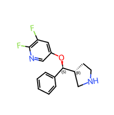 Fc1cc(O[C@H](c2ccccc2)[C@@H]2CCNC2)cnc1F